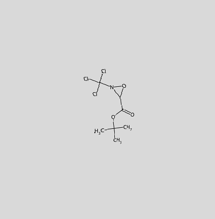 CC(C)(C)OC(=O)C1ON1C(Cl)(Cl)Cl